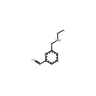 CCNCc1cccc(C=O)c1